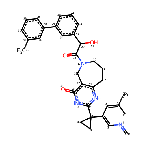 C=N/C=C(\C=C(/C)C(C)C)C1(c2nc3c(c(=O)[nH]2)CN(C(=O)C(O)c2cccc(-c4cccc(C(F)(F)F)c4)c2)CCC3)CC1